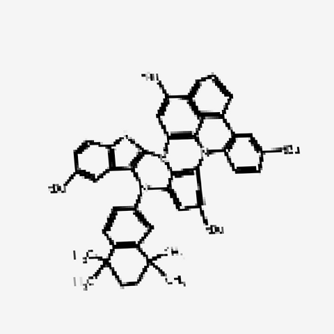 CC(C)(C)c1ccc2c(c1)B1c3sc4ccc(C(C)(C)C)cc4c3N(c3ccc4c(c3)C(C)(C)CCC4(C)C)c3cc(C(C)(C)C)cc(c31)N2c1ccc(C(C)(C)C)cc1-c1ccccc1